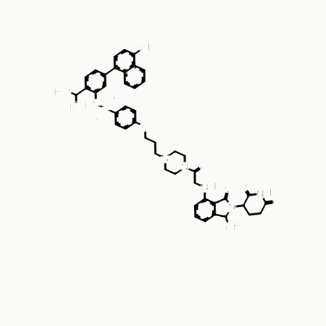 Cc1ccc(-c2ccc(C(O)O)c(NS(=O)(=O)c3ccc(OCCCN4CCN(C(=O)CNc5cccc6c5C(=O)N(C5CCC(=O)NC5=O)C6O)CC4)cc3)c2)c2ccccc12